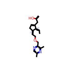 C=C(O)CC1=CCC(=C/COCc2ncc(C)nc2C)/C1=C\C